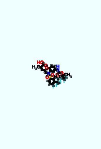 CC(CC1CN(S(=O)(=O)c2ccc(F)c(C(F)(F)F)c2)c2cc(NC(=O)OC(C)(C)C(F)(F)F)ccc2O1)C(=O)O